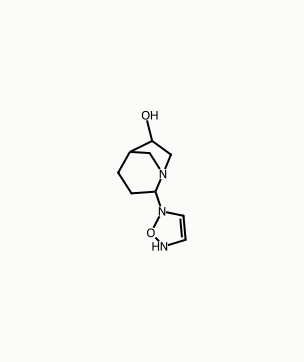 OC1CN2CC1CCC2N1C=CNO1